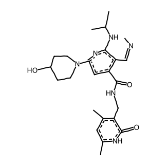 C/N=C\c1c(C(=O)NCc2c(C)cc(C)[nH]c2=O)cc(N2CCC(O)CC2)nc1NC(C)C